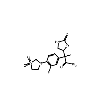 CC(C(N)=O)(c1ccc(N2CCS(=O)(=O)C2)c(F)c1)C1CNC(=O)O1